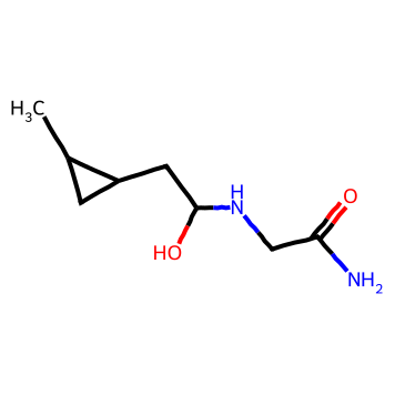 CC1CC1CC(O)NCC(N)=O